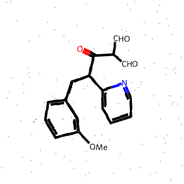 COc1cccc(CC(C(=O)C(C=O)C=O)c2ccccn2)c1